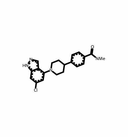 CNC(=O)c1ccc(C2CCN(c3cc(Cl)cc4[nH]ncc34)CC2)cc1